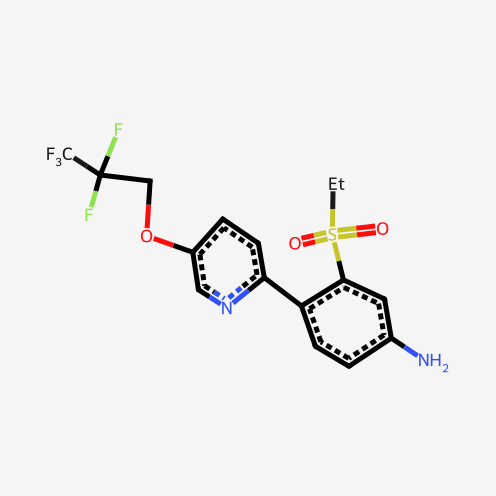 CCS(=O)(=O)c1cc(N)ccc1-c1ccc(OCC(F)(F)C(F)(F)F)cn1